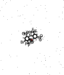 O=[N+]([O-])c1cc([N+](=O)[O-])c(Nc2c([N+](=O)[O-])cc(Br)c(C(F)(F)F)c2Br)c(C(F)(F)F)c1